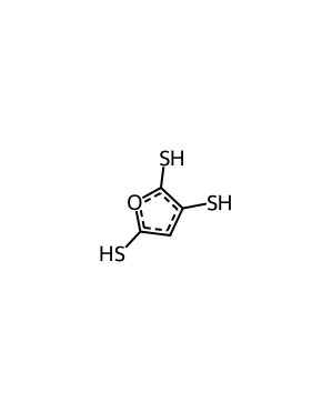 Sc1cc(S)c(S)o1